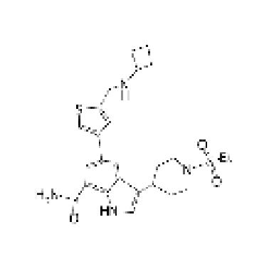 CCS(=O)(=O)N1CCC(c2c[nH]c3c(C(N)=O)cc(-c4csc(CNC5CCC5)c4)cc23)CC1